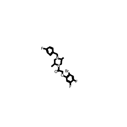 CC1CN(C(=O)COc2cc(F)c(F)cc2Br)C(C)CN1Cc1ccc(F)cc1